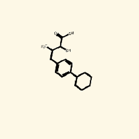 CC(Cc1ccc(C2CCCCC2)cc1)C(O)C(=O)O